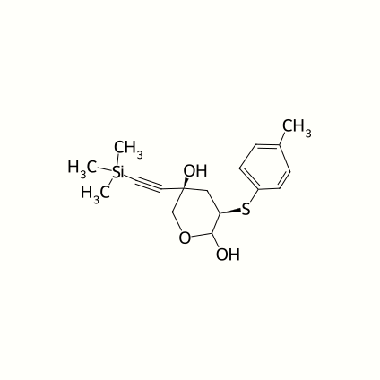 Cc1ccc(S[C@@H]2C[C@@](O)(C#C[Si](C)(C)C)COC2O)cc1